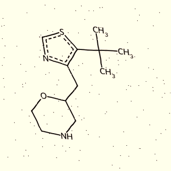 CC(C)(C)c1s[c]nc1CC1CNCCO1